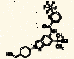 CC(C)(O)c1cc2nn([C@H]3CC[C@H](CO)CC3)cc2cc1NC(=O)c1cccc(S(F)(F)(F)(F)F)n1